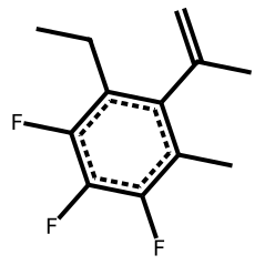 C=C(C)c1c(C)c(F)c(F)c(F)c1CC